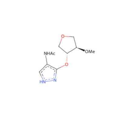 CO[C@@H]1COC[C@H]1Oc1n[nH]cc1NC(C)=O